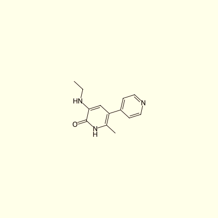 CCNc1cc(-c2ccncc2)c(C)[nH]c1=O